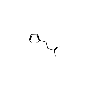 CC(=S)CCc1ccco1